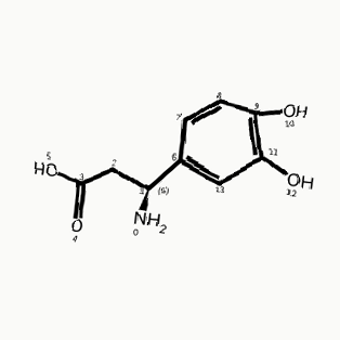 N[C@@H](CC(=O)O)c1ccc(O)c(O)c1